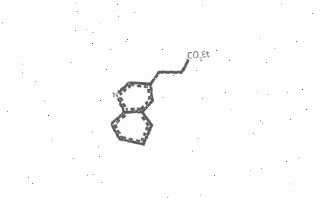 CCOC(=O)CCc1cnc2ccccc2c1